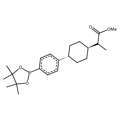 COC(=O)C(C)[C@H]1CC[C@H](c2ccc(B3OC(C)(C)C(C)(C)O3)cc2)CC1